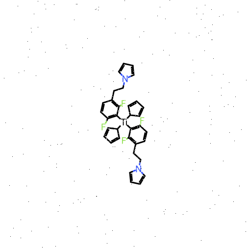 Fc1ccc(CCn2cccc2)c(F)[c]1[Ti]([c]1c(F)ccc(CCn2cccc2)c1F)([CH]1C=CC=C1)[CH]1C=CC=C1